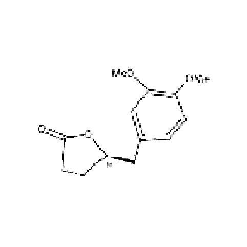 COc1ccc(C[C@H]2CCC(=O)O2)cc1OC